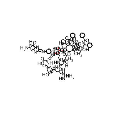 CC(=O)O[C@H]1C(=O)[C@@]2(C)C([C@H](OC(=O)c3ccccc3)[C@]3(O)C[C@H](OC(=O)[C@H](O)[C@@H](NC(=O)c4ccccc4)c4ccccc4)C(C)=C1C3(C)C)[C@]1(OC(C)=O)CO[C@@H]1C[C@@H]2OC(=O)OCCSSC[C@H](NC(=O)[C@H](CC(=O)O)NC(=O)[C@H](CCCNC(=N)N)NC(=O)[C@H](CC(=O)O)NC(=O)CC[C@H](NC(=O)c1ccc(NCc2cnc3nc(N)[nH]c(=O)c3n2)cc1)C(=O)O)C(=O)O